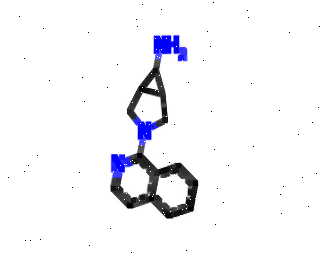 NC1C2CN(c3nccc4ccccc34)CC12